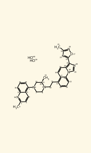 Cc1ccc2c(N3CCN(CCc4cccc5c4ccc4c(-c6nc(C)no6)ncn45)[C@H](C)C3)cccc2n1.Cl.Cl